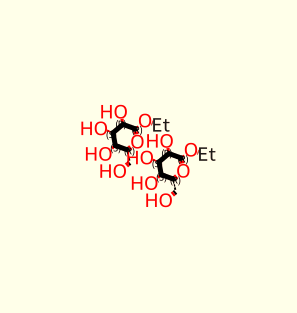 CCO[C@@H]1O[C@H](CO)[C@@H](O)[C@H](O)[C@H]1O.CCO[C@@H]1O[C@H](CO)[C@@H](O)[C@H](O)[C@H]1O